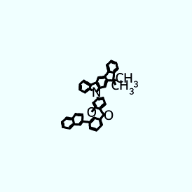 CC1(C)c2ccccc2-c2cc3c4ccccc4n(-c4ccc5c(=O)c6cccc(-c7ccc8ccccc8c7)c6oc5c4)c3cc21